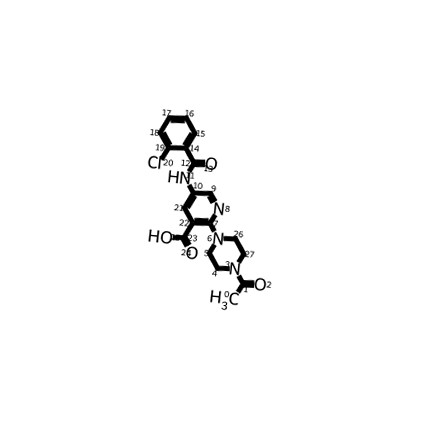 CC(=O)N1CCN(c2ncc(NC(=O)c3ccccc3Cl)cc2C(=O)O)CC1